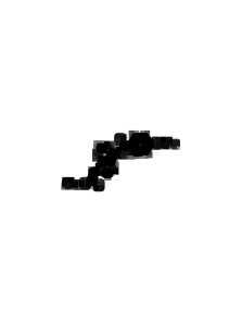 COC(=O)Cn1cnc2c(NC(=O)c3ccc(OC)cc3)ncnc21